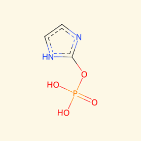 O=P(O)(O)Oc1ncc[nH]1